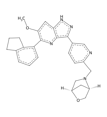 COc1cc2[nH]nc(-c3ccc(CN4C[C@H]5C[C@@H]4CO5)nc3)c2nc1-c1cccc2c1CCC2